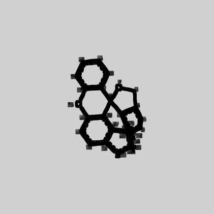 c1ccc2c(c1)COC21c2ccccc2Oc2ccc3sc4ccccc4c3c21